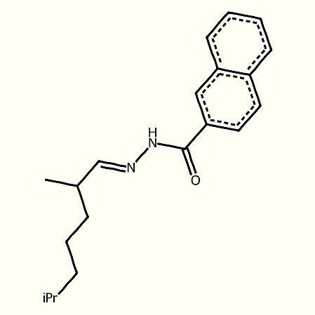 CC(C)CCCC(C)C=NNC(=O)c1ccc2ccccc2c1